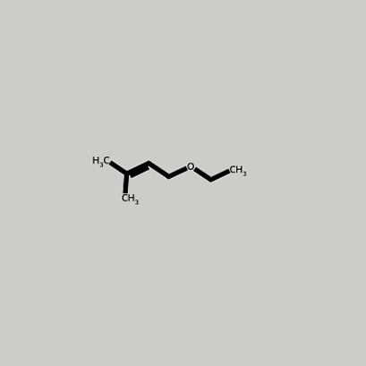 CCOCC=C(C)C